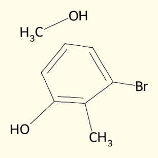 CO.Cc1c(O)cccc1Br